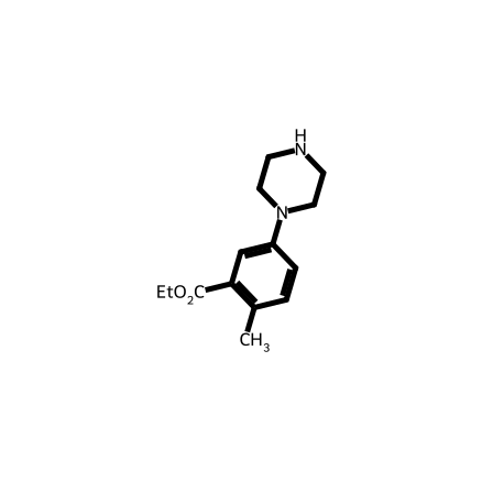 CCOC(=O)c1cc(N2CCNCC2)ccc1C